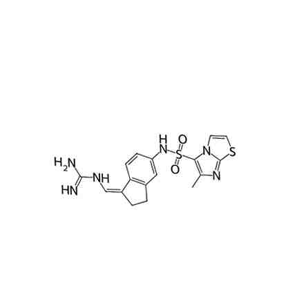 Cc1nc2sccn2c1S(=O)(=O)Nc1ccc2c(c1)CC/C2=C/NC(=N)N